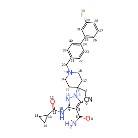 N#CCC1(n2cc(C(N)=O)c(NC(=O)C3CC3)n2)CCN(Cc2ccc(-c3cccc(F)c3)cc2)CC1